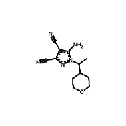 CC(C1CCOCC1)n1nc(C#N)c(C#N)c1N